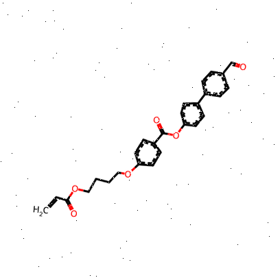 C=CC(=O)OCCCCOc1ccc(C(=O)Oc2ccc(-c3ccc(C=O)cc3)cc2)cc1